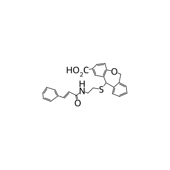 O=C(C=Cc1ccccc1)NCCSC1c2ccccc2COc2ccc(C(=O)O)cc21